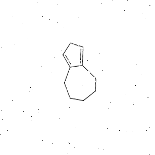 C1=C2CCCCCC2=CC1